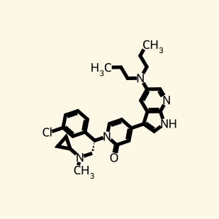 CCCN(CCC)c1cnc2[nH]cc(-c3ccn([C@H](CN(C)C4CC4)c4cccc(Cl)c4)c(=O)c3)c2c1